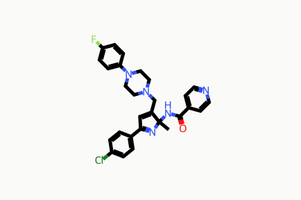 CC1(NC(=O)c2ccncc2)N=C(c2ccc(Cl)cc2)C=C1CN1CCN(c2ccc(F)cc2)CC1